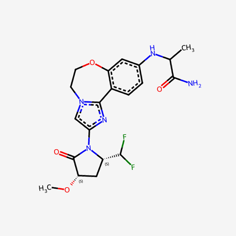 CO[C@H]1C[C@@H](C(F)F)N(c2cn3c(n2)-c2ccc(NC(C)C(N)=O)cc2OCC3)C1=O